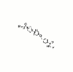 CC(C)NC(=O)c1ccc(COc2cnc(N3CCN(C(=O)OC(C)(C)C)CC3)nc2)cc1